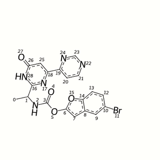 CC(NC(=O)Oc1cc2cc(Br)ccc2o1)c1nc(-c2ccncn2)cc(=O)[nH]1